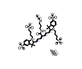 CC1(C)C(/C=C/C=C(/C=C/C=C2/N(CCCCS(=O)(=O)[O-])c3ccc(S(=O)(=O)[O-])cc3C2(C)C)C(=O)NCCCN=[N+]=[N-])=[N+](CCCCS(=O)(=O)[O-])c2ccc(S(=O)(=O)[O-])cc21.[Na+].[Na+].[Na+]